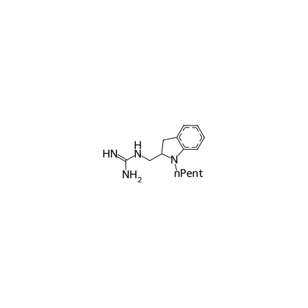 CCCCCN1c2ccccc2CC1CNC(=N)N